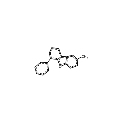 Cc1ccc2oc3c(-c4ccccc4)cccc3c2c1